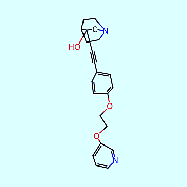 OC1(C#Cc2ccc(OCCOc3cccnc3)cc2)CN2CCC1CC2